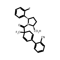 N#Cc1ccccc1C1=CCC(C(=O)N2[C@@H](c3ccccc3F)CC[C@H]2C(=O)O)(C(F)(F)F)C=C1